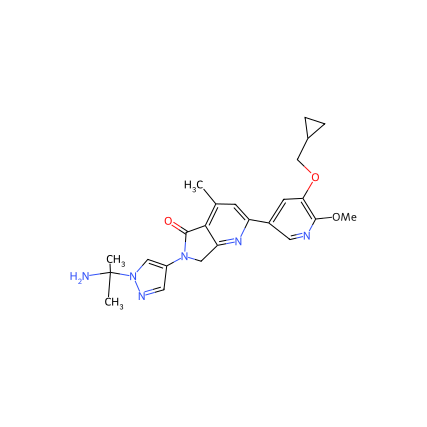 COc1ncc(-c2cc(C)c3c(n2)CN(c2cnn(C(C)(C)N)c2)C3=O)cc1OCC1CC1